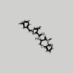 CN1C(=O)C(NC(=O)c2nn(Cc3cccc(F)c3)cc2F)COc2cccnc21